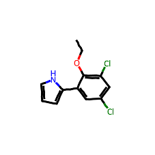 CCOc1c(Cl)cc(Cl)cc1-c1ccc[nH]1